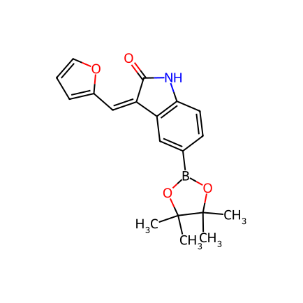 CC1(C)OB(c2ccc3c(c2)C(=Cc2ccco2)C(=O)N3)OC1(C)C